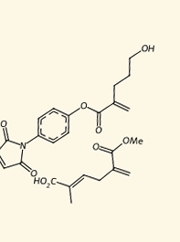 C=C(CC=C(C)C(=O)O)C(=O)OC.C=C(CCCO)C(=O)Oc1ccc(N2C(=O)C=CC2=O)cc1